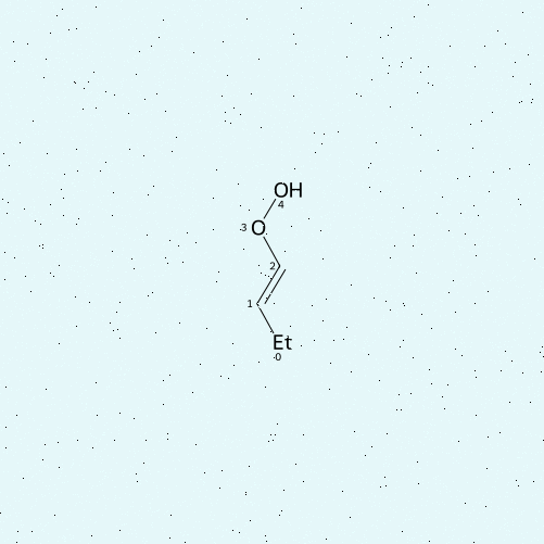 CC/C=C/OO